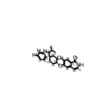 CC(C)[C@H](N)[C@]1(c2ccc(F)cc2)CC[C@@H](Oc2cc3cc[nH]c(=O)c3cc2Cl)CC1